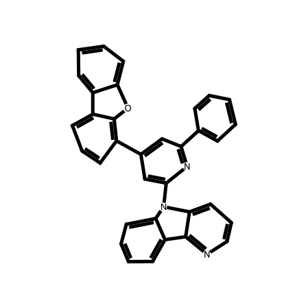 c1ccc(-c2cc(-c3cccc4c3oc3ccccc34)cc(-n3c4ccccc4c4ncccc43)n2)cc1